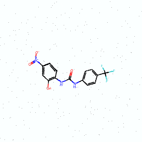 O=C(Nc1ccc(C(F)(F)F)cc1)Nc1ccc([N+](=O)[O-])cc1O